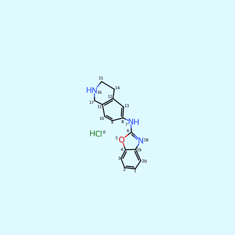 Cl.c1ccc2oc(Nc3ccc4c(c3)CCNC4)nc2c1